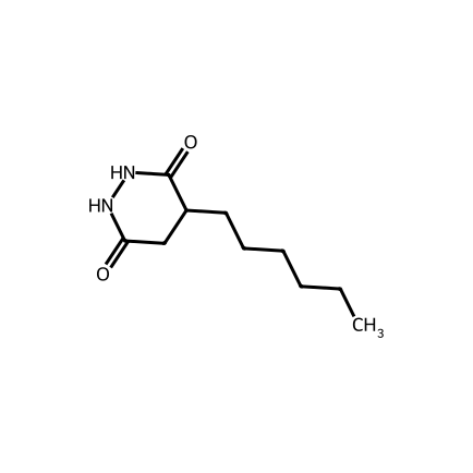 CCCCCCC1CC(=O)NNC1=O